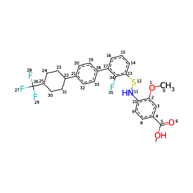 COc1cc(C(=O)O)ccc1NSc1cccc(-c2ccc(C3CCC(C(F)(F)F)CC3)cc2)c1F